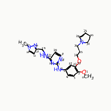 COc1ccc(Nc2nccc(NCc3ccn(C)n3)n2)cc1OCCCN1CCCC1